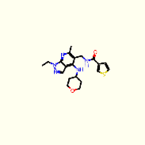 CCn1ncc2c(NC3CCOCC3)c(CNC(=O)c3ccsc3)c(C)nc21